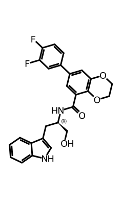 O=C(N[C@@H](CO)Cc1c[nH]c2ccccc12)c1cc(-c2ccc(F)c(F)c2)cc2c1OCCO2